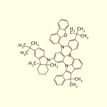 CC(C)(C)c1ccc2c(c1)N(c1cccc3c1oc1ccccc13)c1cc(N3c4ccc(C(C)(C)C)cc4C4(C)CCCCC34C)cc3c1B2c1cccc2c4c(n-3c12)-c1ccccc1C4(C)C